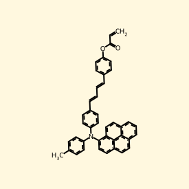 C=CC(=O)Oc1ccc(C=CC=Cc2ccc(N(c3ccc(C)cc3)c3ccc4ccc5cccc6ccc3c4c56)cc2)cc1